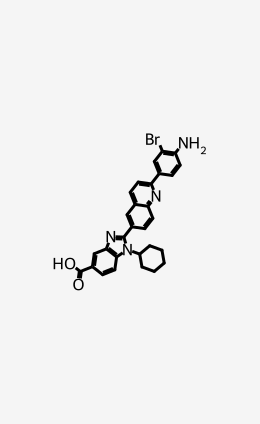 Nc1ccc(-c2ccc3cc(-c4nc5cc(C(=O)O)ccc5n4C4CCCCC4)ccc3n2)cc1Br